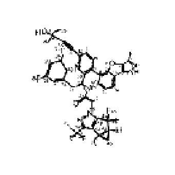 Cc1n[nH]c2c1oc1c(-c3ccc(C#CC(C)(C)O)nc3C(CC3=CC(F)=CC(F)C3)NC(=O)Cn3nc(C(F)(F)I)c4c3C(F)(F)[C@@H]3C[C@H]43)cccc12